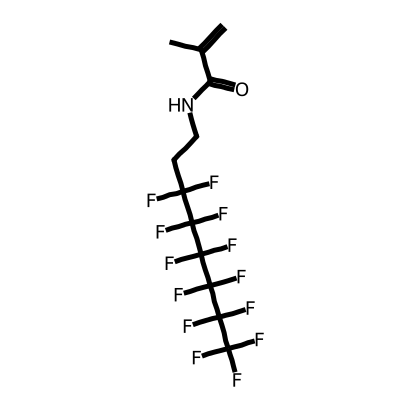 C=C(C)C(=O)NCCC(F)(F)C(F)(F)C(F)(F)C(F)(F)C(F)(F)C(F)(F)F